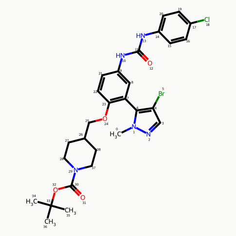 Cn1ncc(Br)c1-c1cc(NC(=O)Nc2ccc(Cl)cc2)ccc1OCC1CCN(C(=O)OC(C)(C)C)CC1